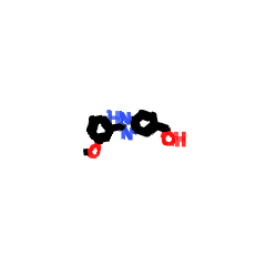 COc1cccc(-c2nc3cc(CO)ccc3[nH]2)c1